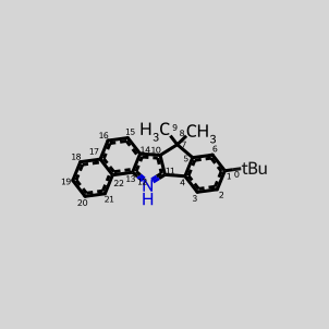 CC(C)(C)c1ccc2c(c1)C(C)(C)c1c-2[nH]c2c1ccc1ccccc12